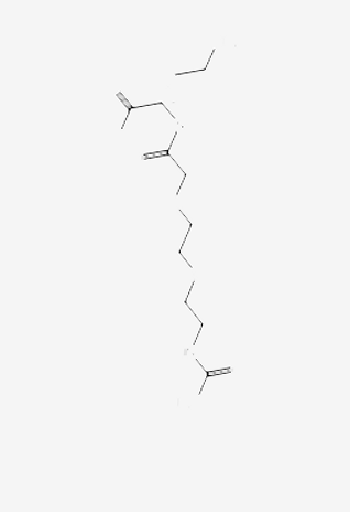 CCC[C@H](NC(=O)COCCOCCNC(C)=O)C(C)=O